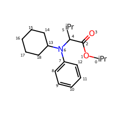 CC(C)OC(=O)C(C(C)C)N(c1ccccc1)C1CCCCC1